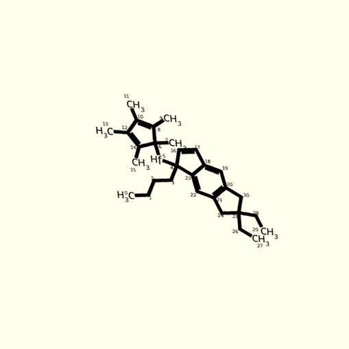 CCCC[C]1([Hf][C]2(C)C(C)=C(C)C(C)=C2C)C=Cc2cc3c(cc21)CC(CC)(CC)C3